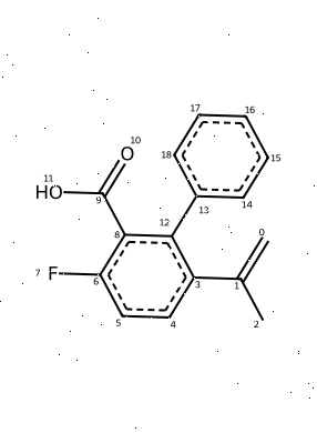 C=C(C)c1ccc(F)c(C(=O)O)c1-c1ccccc1